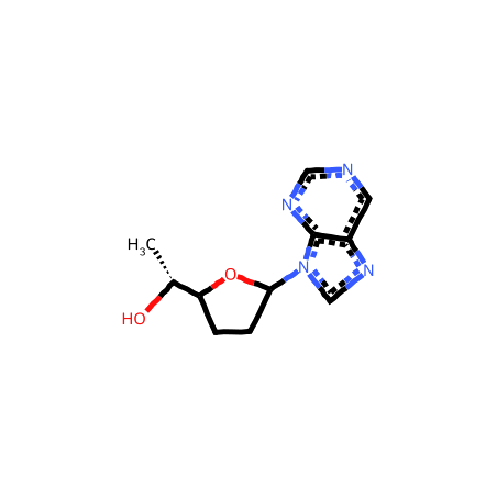 C[C@@H](O)C1CCC(n2cnc3cncnc32)O1